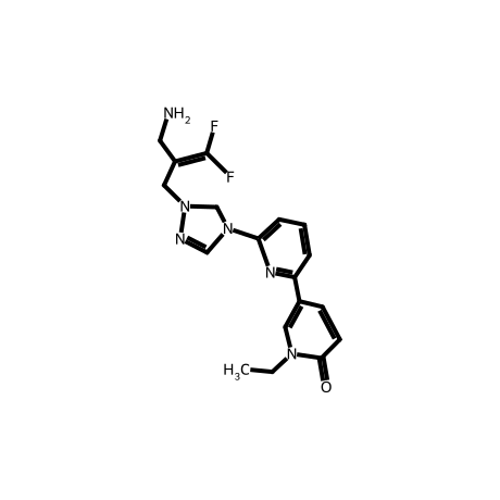 CCn1cc(-c2cccc(N3C=NN(CC(CN)=C(F)F)C3)n2)ccc1=O